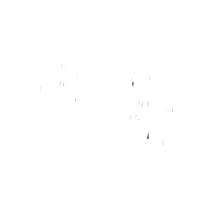 C[N+](C)(C)CCCC[C@H](NN[C@@H](CO)C(=O)O)C(=O)O